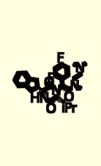 CC(C)C[C@@H]1C(=O)N[C@H](C2Cc3ccccc3C2)C(=O)N1[C@@H](C(=O)N(C)CCN(C)C)c1ccc(F)cc1F